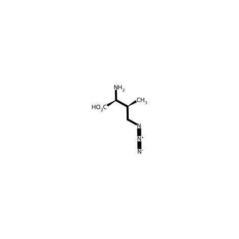 C[C@@H](CN=[N+]=[N-])[C@H](N)C(=O)O